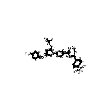 CCS(=O)(=O)c1ccc([C@H](CO)NC(=O)c2cnc(N3C[C@H](Oc4ccc(C(F)(F)F)cc4)C[C@H]3COC(F)F)nc2)cc1